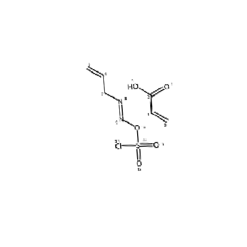 C=CC(=O)O.C=CCN=NOS(=O)(=O)Cl